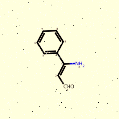 NC(=CC=O)c1ccccc1